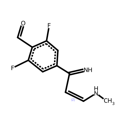 CN/C=C\C(=N)c1cc(F)c(C=O)c(F)c1